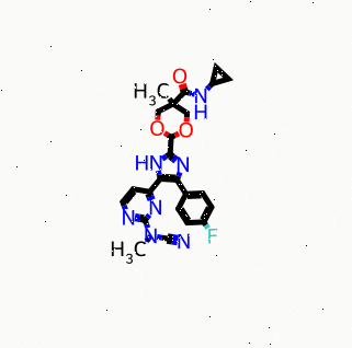 CN(C#N)c1nccc(-c2[nH]c(C3OCC(C)(C(=O)NC4CC4)CO3)nc2-c2ccc(F)cc2)n1